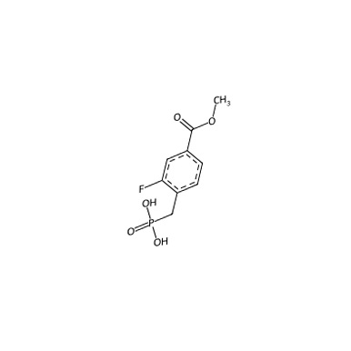 COC(=O)c1ccc(CP(=O)(O)O)c(F)c1